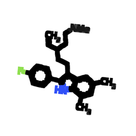 C=CC(CCNC)CCc1c(-c2ccc(F)cc2)[nH]c2c(C)cc(C)cc12